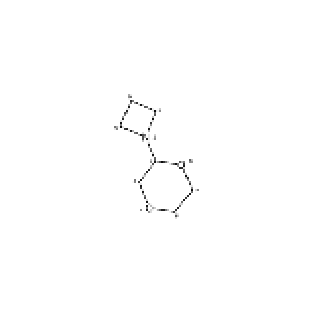 C1CN(C2COCCO2)C1